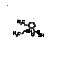 CCCNc1c(CC)cccc1C(=O)OO